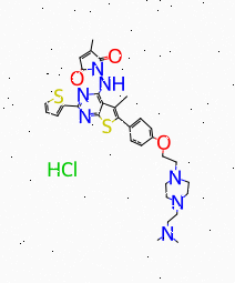 CC1=CC(=O)N(Nc2nc(-c3cccs3)nc3sc(-c4ccc(OCCN5CCN(CCN(C)C)CC5)cc4)c(C)c23)C1=O.Cl